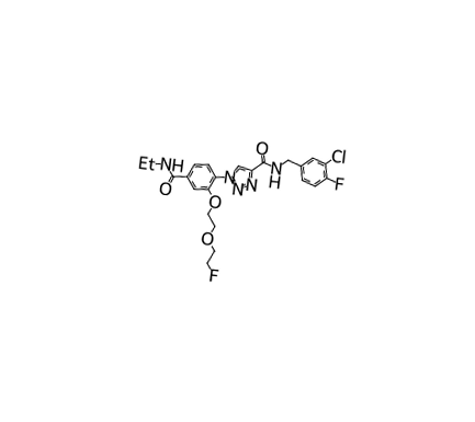 CCNC(=O)c1ccc(-n2cc(C(=O)NCc3ccc(F)c(Cl)c3)nn2)c(OCCOCCF)c1